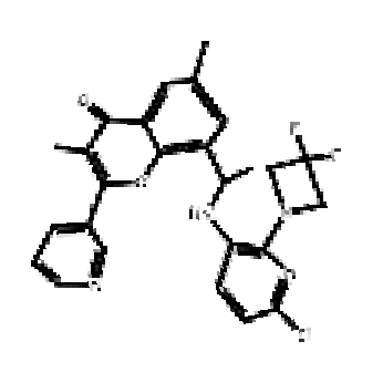 Cc1cc(C(C)Nc2ccc(Cl)nc2N2CC(F)(F)C2)c2oc(-c3cccnc3)c(C)c(=O)c2c1